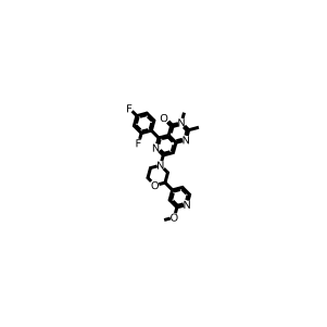 COc1cc(C2CN(c3cc4nc(C)n(C)c(=O)c4c(-c4ccc(F)cc4F)n3)CCO2)ccn1